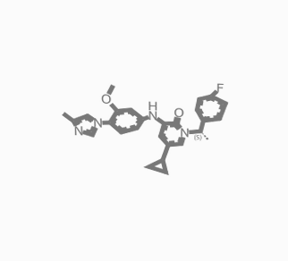 COc1cc(Nc2cc(C3CC3)cn([C@@H](C)c3ccc(F)cc3)c2=O)ccc1-n1cnc(C)c1